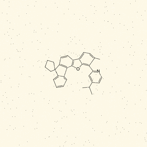 Cc1ccc2c(oc3c4c(ccc32)C2(CCCC2)c2ccccc2-4)c1-c1cc(C(C)C)ccn1